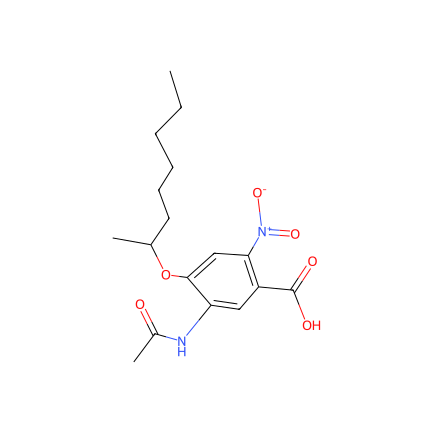 CCCCCCC(C)Oc1cc([N+](=O)[O-])c(C(=O)O)cc1NC(C)=O